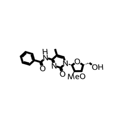 CO[C@H]1C[C@@H](CO)O[C@H]1n1cc(C)c(NC(=O)c2ccccc2)nc1=O